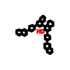 Oc1c(-c2ccc(-c3ccc4ccccc4c3)cc2)cc2ccccc2c1-c1cc(-c2ccc(-c3ccc4ccccc4c3)cc2)cc2ccccc12